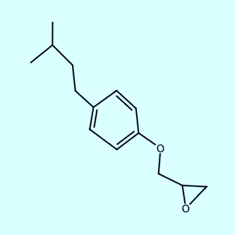 CC(C)CCc1ccc(OCC2CO2)cc1